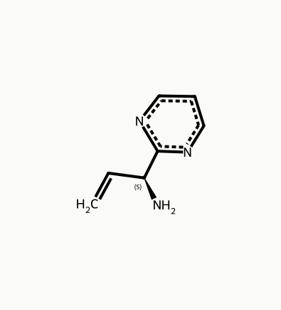 C=C[C@H](N)c1ncccn1